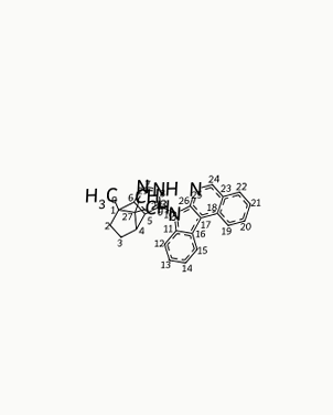 CC12CCC(c3c1n[nH]c3-n1c3ccccc3c3c4ccccc4cnc31)C2(C)C